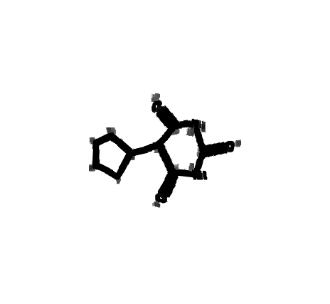 O=C1NC(=O)C(C2CCCC2)C(=O)N1